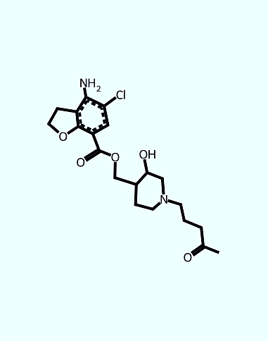 CC(=O)CCCN1CCC(COC(=O)c2cc(Cl)c(N)c3c2OCC3)C(O)C1